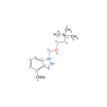 COc1cccc2c1cnn2COCC[Si](C)(C)C